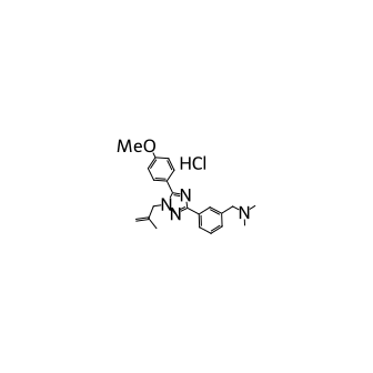 C=C(C)Cn1nc(-c2cccc(CN(C)C)c2)nc1-c1ccc(OC)cc1.Cl